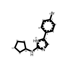 Brc1ccc(-c2cnc(NC3CCCC3)[nH]2)cc1